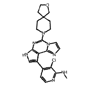 CNc1nccc(-c2c[nH]c3nc(N4CCC5(CCOC5)CC4)n4ccnc4c23)c1Cl